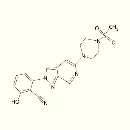 CS(=O)(=O)N1CCN(c2cc3cn(-c4cccc(O)c4C#N)nc3cn2)CC1